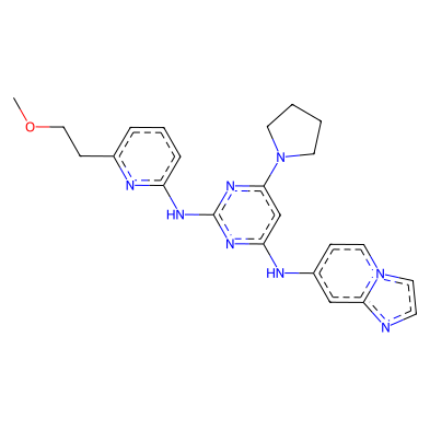 COCCc1cccc(Nc2nc(Nc3ccn4ccnc4c3)cc(N3CCCC3)n2)n1